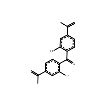 C=C(C)c1ccc(C(=O)c2ccc(C(=C)C)cc2CC)c(CC)c1